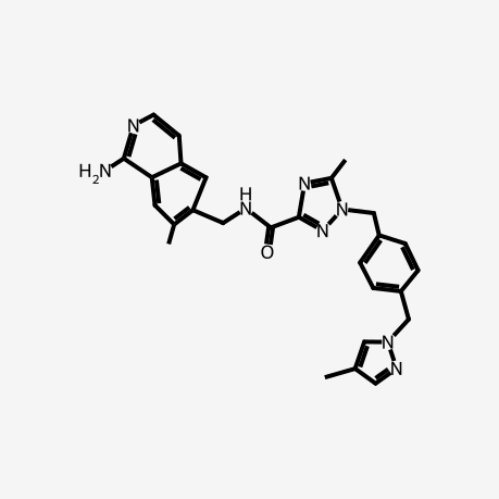 Cc1cnn(Cc2ccc(Cn3nc(C(=O)NCc4cc5ccnc(N)c5cc4C)nc3C)cc2)c1